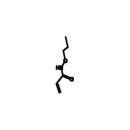 C=CC(=O)NOCCC